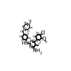 COc1cc(-c2nc(Nc3ccc(CN4CCN(C)CC4)cc3)nc(N)c2C)ccc1Cl